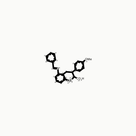 COc1ccc(C(Cc2c(N=Cc3ccccc3)cccc2[N+](=O)[O-])C(C(=O)O)C(=O)O)cc1